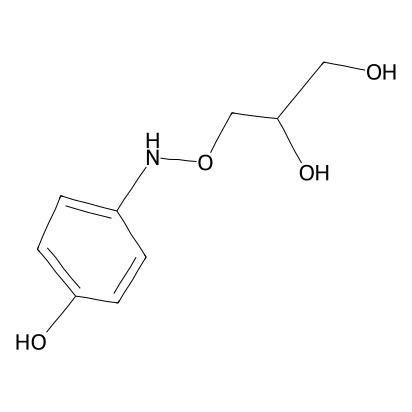 OCC(O)CONc1ccc(O)cc1